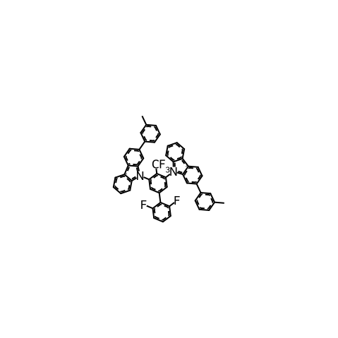 Cc1cccc(-c2ccc3c4ccccc4n(-c4cc(-c5c(F)cccc5F)cc(-n5c6ccccc6c6ccc(-c7cccc(C)c7)cc65)c4C(F)(F)F)c3c2)c1